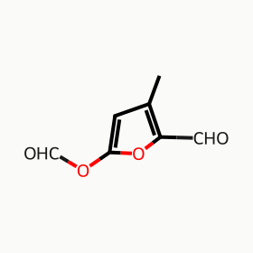 Cc1cc(OC=O)oc1C=O